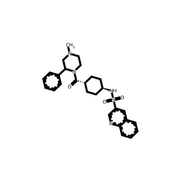 CN1CCN(C(=O)[C@H]2CC[C@H](NS(=O)(=O)c3cnc4ccccc4c3)CC2)C(c2ccccc2)C1